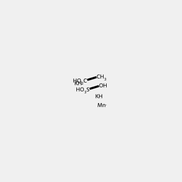 CC(=O)O.O=S(=O)(O)O.[KH].[KH].[Mn]